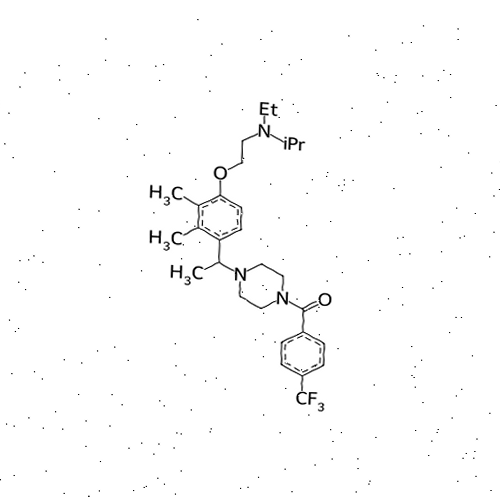 CCN(CCOc1ccc(C(C)N2CCN(C(=O)c3ccc(C(F)(F)F)cc3)CC2)c(C)c1C)C(C)C